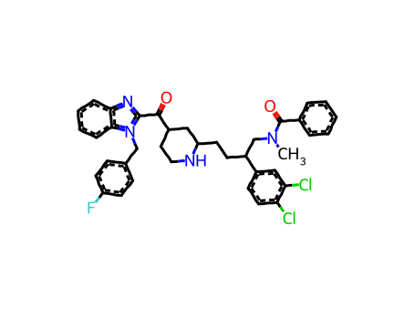 CN(CC(CCC1CC(C(=O)c2nc3ccccc3n2Cc2ccc(F)cc2)CCN1)c1ccc(Cl)c(Cl)c1)C(=O)c1ccccc1